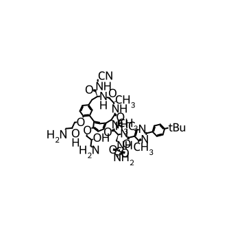 Cc1nc(-c2ccc(C(C)(C)C)cc2)nc(C)c1C(=O)N[C@@H](CNS(N)(=O)=O)C(=O)N(C)[C@@H]1C(=O)N[C@@H](C)C(=O)N[C@H](C(=O)NCC#N)Cc2ccc(OC[C@@H](O)CN)c(c2)-c2cc1ccc2OC[C@@H](O)CN